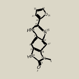 Cn1c(=O)[nH]c2cc3[nH]c(-c4ccco4)nc3cc21